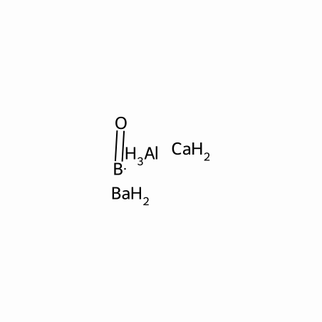 [AlH3].[B]=O.[BaH2].[CaH2]